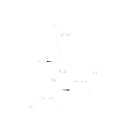 CNC(=O)[C@H](CCC(=O)O)NC(=O)[C@@H](N)CCC(=O)O